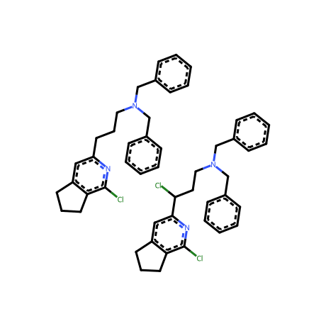 Clc1nc(C(Cl)CCN(Cc2ccccc2)Cc2ccccc2)cc2c1CCC2.Clc1nc(CCCN(Cc2ccccc2)Cc2ccccc2)cc2c1CCC2